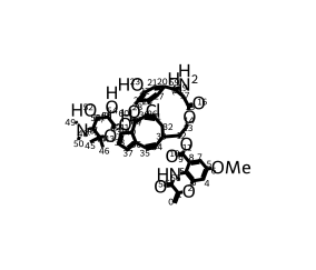 C=C1Oc2cc(OC)cc(C(=O)OC3COC(=O)C[C@H](N)c4cc(O)c(c(Cl)c4)O[C@@H]4C#CCC3C#CC3=CC=CC34O[C@@H]3OC(C)(C)[C@@H](N(C)C)[C@@H](O)[C@H]3O)c2NC1=O